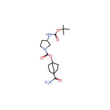 CC(C)(C)OC(=O)N[C@@H]1CCN(C(=O)OC23CCC(C(N)=O)(CC2)CC3)C1